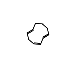 [CH]1C/C=C/C=C\C/C=C/C1